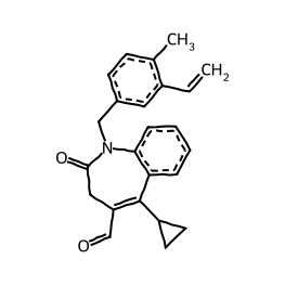 C=Cc1cc(CN2C(=O)CC(C=O)=C(C3CC3)c3ccccc32)ccc1C